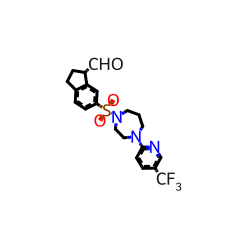 O=CC1CCc2ccc(S(=O)(=O)N3CCCN(c4ccc(C(F)(F)F)cn4)CC3)cc21